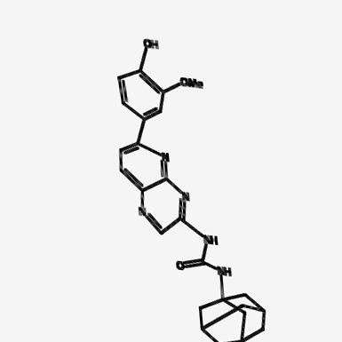 COc1cc(-c2ccc3ncc(NC(=O)NC45CC6CC(CC(C6)C4)C5)nc3n2)ccc1O